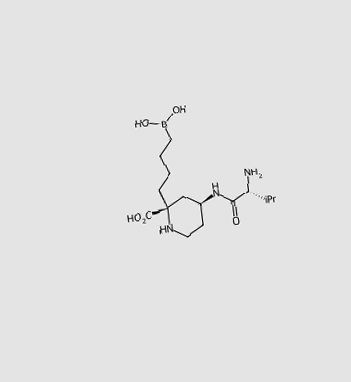 CC(C)[C@@H](N)C(=O)N[C@H]1CCN[C@@](CCCCB(O)O)(C(=O)O)C1